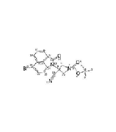 CC(C)(C)OC(=O)N1CC(C#N)(N2C(=O)c3cccc4c(Br)ccc2c34)C1